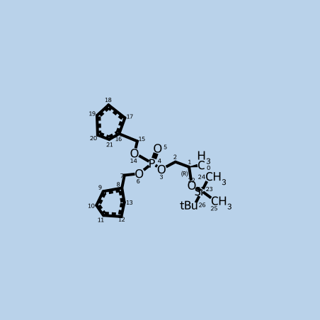 C[C@H](COP(=O)(OCc1ccccc1)OCc1ccccc1)O[Si](C)(C)C(C)(C)C